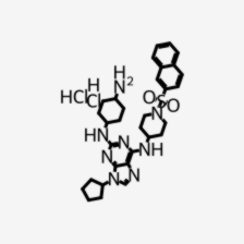 Cl.Cl.NC1CCC(Nc2nc(NC3CCN(S(=O)(=O)c4ccc5ccccc5c4)CC3)c3ncn(C4CCCC4)c3n2)CC1